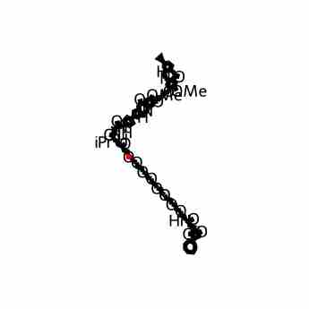 COc1cc2c(cc1OCCCOc1cc3c(cc1OC)C(=O)CC1=CC=C(C4CC4)C[C@H]1/C=N\3)/N=C\[C@@H]1CC(c3ccc(NC(=O)[C@H](C)NC(=O)C(/C=C/C(=O)CCOCCOCCOCCOCCOCCOCCOCCOCCNC(=O)CCN4C(=O)CC(C5CCCCCCC5)C4=O)C(C)C)cc3)=C/C1=C/C2=O